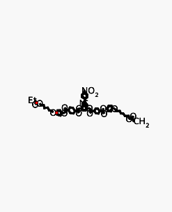 C=CC(=O)OCCCCCCOc1ccc(OC(=O)C2CCC(C(=O)Oc3ccc(OC(=O)C4CCC(C(=O)Oc5ccc(OCCCCCCOC(=O)CC)cc5)CC4)c4nc(-c5ccc([N+](=O)[O-])cc5)sc34)CC2)cc1